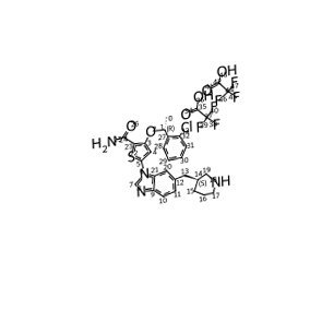 C[C@@H](Oc1cc(-n2cnc3ccc(C[C@@H]4CCCNC4)cc32)sc1C(N)=O)c1ccccc1Cl.O=C(O)C(F)(F)F.O=C(O)C(F)(F)F